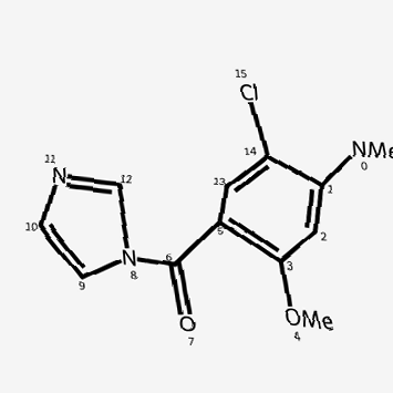 CNc1cc(OC)c(C(=O)n2ccnc2)cc1Cl